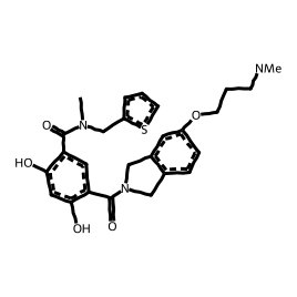 CNCCCOc1ccc2c(c1)CN(C(=O)c1cc(C(=O)N(C)Cc3cccs3)c(O)cc1O)C2